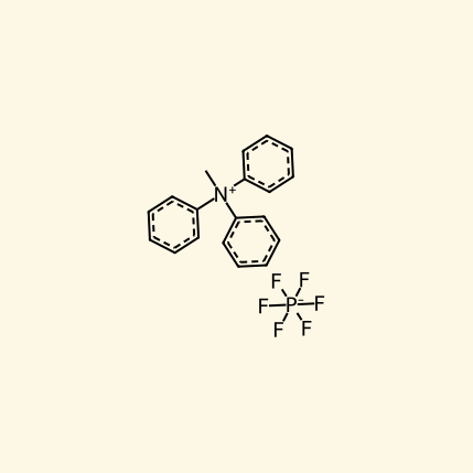 C[N+](c1ccccc1)(c1ccccc1)c1ccccc1.F[P-](F)(F)(F)(F)F